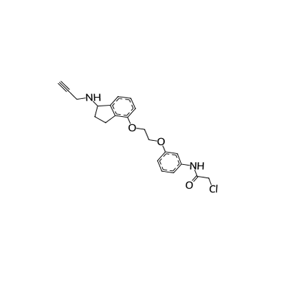 C#CCNC1CCc2c(OCCOc3cccc(NC(=O)CCl)c3)cccc21